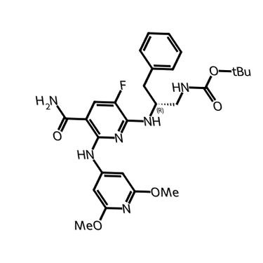 COc1cc(Nc2nc(N[C@@H](CNC(=O)OC(C)(C)C)Cc3ccccc3)c(F)cc2C(N)=O)cc(OC)n1